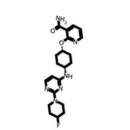 NC(=O)c1cccnc1O[C@H]1CC[C@H](Nc2ccnc(N3CCC(F)CC3)n2)CC1